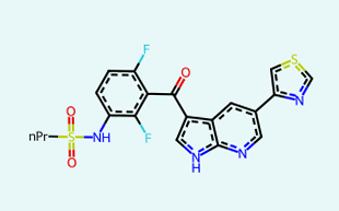 CCCS(=O)(=O)Nc1ccc(F)c(C(=O)c2c[nH]c3ncc(-c4cscn4)cc23)c1F